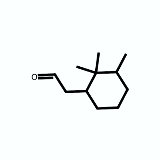 CC1CCCC(CC=O)C1(C)C